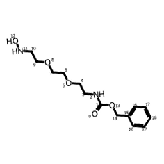 O=C(NCCOCCOCCNO)OCc1ccccc1